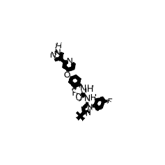 CC(C)(C)c1cc(NC(=O)Nc2ccc(Oc3ccnc(-c4cn[nH]c4)c3)cc2F)n(-c2ccc(F)cc2)n1